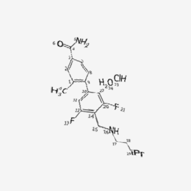 Cc1cc(C(N)=O)ccc1-c1cc(F)c(CNCCC(C)C)c(F)c1.Cl.O